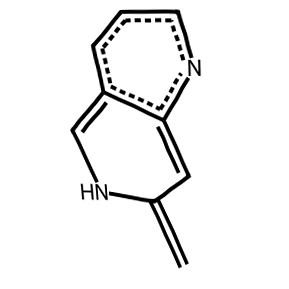 C=C1C=c2ncccc2=CN1